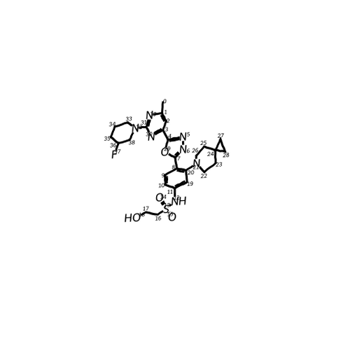 Cc1cc(-c2nnc(-c3ccc(NS(=O)(=O)CCO)cc3N3CCC4(CC3)CC4)o2)nc(N2CCCC(F)C2)n1